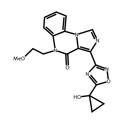 COCCn1c(=O)c2c(-c3noc(C4(O)CC4)n3)ncn2c2ccccc21